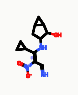 N=C/C(=C(\NC1CC2CC2C1O)C1CC1)[N+](=O)[O-]